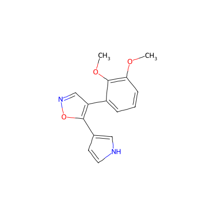 COc1cccc(-c2cnoc2-c2cc[nH]c2)c1OC